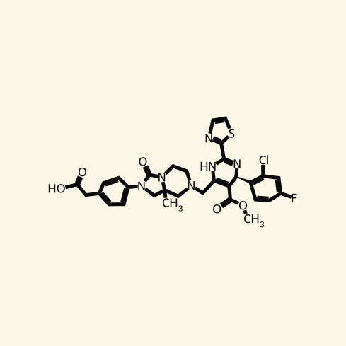 COC(=O)C1=C(CN2CCN3C(=O)N(c4ccc(CC(=O)O)cc4)CC3(C)C2)NC(c2nccs2)=N[C@H]1c1ccc(F)cc1Cl